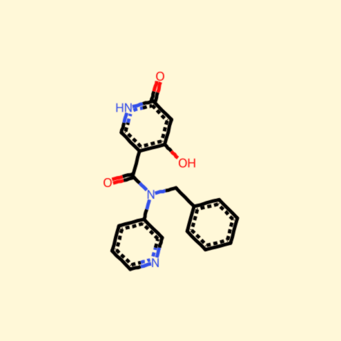 O=C(c1c[nH]c(=O)cc1O)N(Cc1ccccc1)c1cccnc1